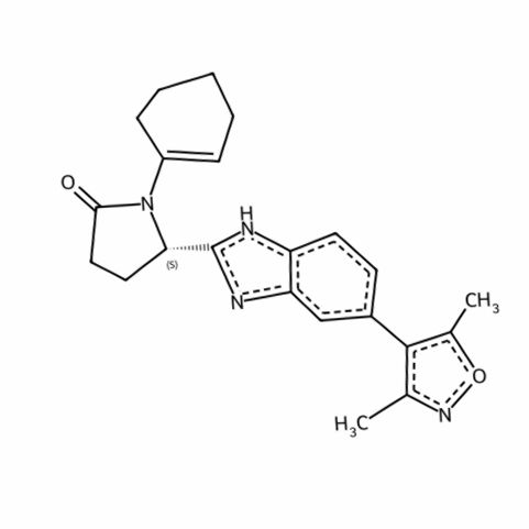 Cc1noc(C)c1-c1ccc2[nH]c([C@@H]3CCC(=O)N3C3=CCCCC3)nc2c1